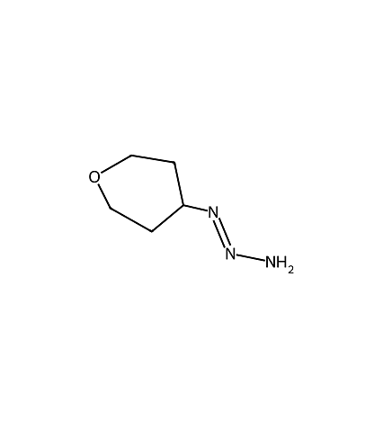 NN=NC1CCOCC1